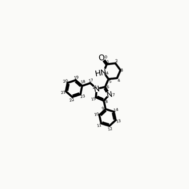 O=C1CCCC(c2nc(-c3ccccc3)cn2Cc2ccccc2)N1